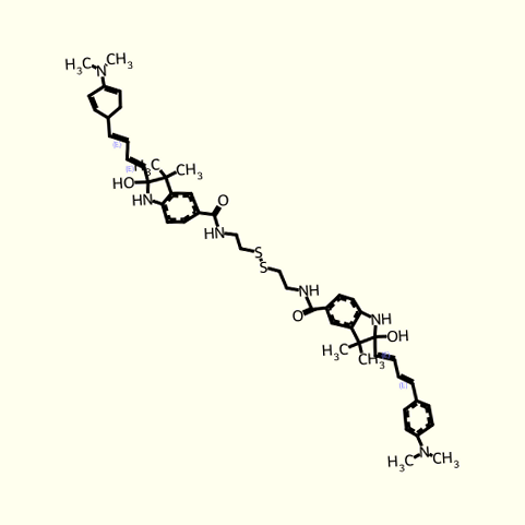 CN(C)C1=CCC(/C=C/C=C/C2(O)Nc3ccc(C(=O)NCCSSCCNC(=O)c4ccc5c(c4)C(C)(C)C(O)(/C=C/C=C/c4ccc(N(C)C)cc4)N5)cc3C2(C)C)C=C1